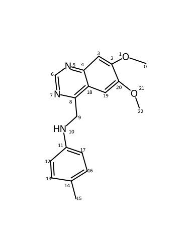 COc1cc2ncnc(CNc3ccc(C)cc3)c2cc1OC